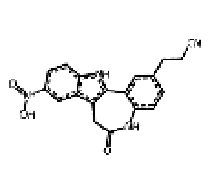 N#CCCc1ccc2c(c1)-c1[nH]c3ccc([N+](=O)O)cc3c1CC(=O)N2